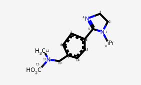 CC(C)N1CCN=C1c1ccc(CN(C)C(=O)O)cc1